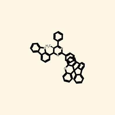 C[C@H]1C(c2ccccc2)=NC(c2ccc(-c3cccc4c3C3(c5ccccc5Oc5ccccc53)c3ccccc3-4)cc2)=NC1c1cccc2c1oc1ccccc12